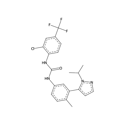 Cc1ccc(NC(=O)Nc2ccc(C(F)(F)F)cc2Cl)cc1-c1ccnn1C(C)C